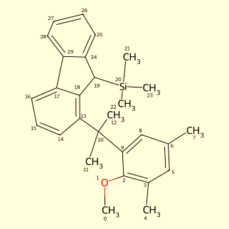 COc1c(C)cc(C)cc1C(C)(C)c1cccc2c1C([Si](C)(C)C)c1ccccc1-2